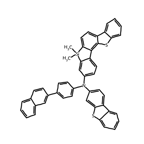 C[Si]1(C)c2cc(N(c3ccc(-c4ccc5ccccc5c4)cc3)c3ccc4c(c3)sc3ccccc34)ccc2-c2c1ccc1c2sc2ccccc21